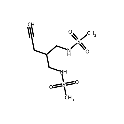 C#CCC(CNS(C)(=O)=O)CNS(C)(=O)=O